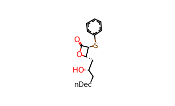 CCCCCCCCCCC[C@H](O)C[C@@H]1OC(=O)[C@H]1Sc1ccccc1